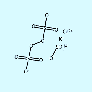 O=S(=O)([O-])O.O=S(=O)([O-])OOS(=O)(=O)[O-].[Cu+2].[K+]